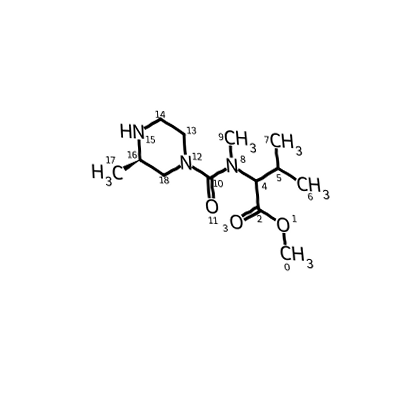 COC(=O)C(C(C)C)N(C)C(=O)N1CCN[C@H](C)C1